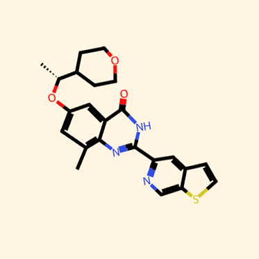 Cc1cc(O[C@H](C)C2CCOCC2)cc2c(=O)[nH]c(-c3cc4ccsc4cn3)nc12